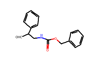 O=CC(CNC(=O)OCc1ccccc1)c1ccccc1